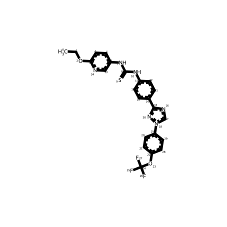 CCOc1ccc(NC(=S)Nc2ccc(-c3ncn(-c4ccc(OC(F)(F)F)cc4)n3)cc2)cn1